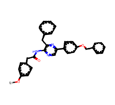 CCOc1ccc(CC(=O)Nc2ncc(-c3ccc(OCc4ccccc4)cc3)nc2Cc2ccccc2)cc1